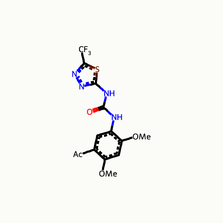 COc1cc(OC)c(C(C)=O)cc1NC(=O)Nc1nnc(C(F)(F)F)s1